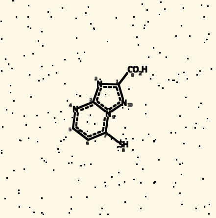 O=C(O)c1nc2nccc(S)n2n1